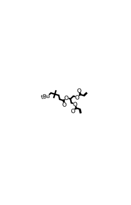 C=CC(=O)OCC(COC(=O)C=C)OC(=O)CCC(C)(C)CC(C)(C)C